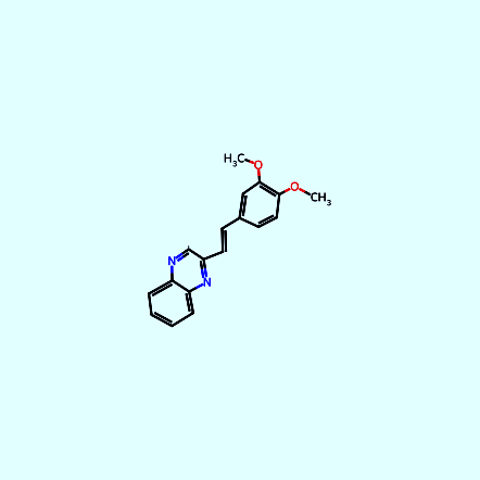 COc1ccc(/C=C/c2[c]nc3ccccc3n2)cc1OC